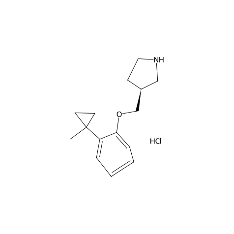 CC1(c2ccccc2OC[C@H]2CCNC2)CC1.Cl